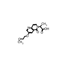 COCCOc1cnc2ccn(C(C)C(=O)O)c(=O)c2c1